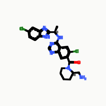 C[C@@H](Nc1ncnc2cc(C(=O)N3CCCC[C@@H]3CN)c(Cl)cc12)c1nc2cc(Cl)ccc2[nH]1